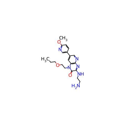 CCCOCCn1c(=O)c(NCCN)nc2ncc(-c3ccc(OC)nc3)cc21